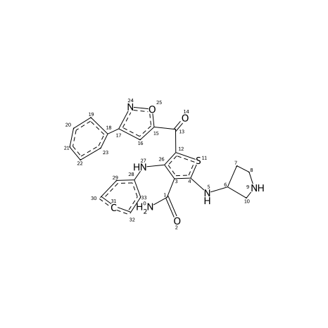 NC(=O)c1c(NC2CCNC2)sc(C(=O)c2cc(-c3ccccc3)no2)c1Nc1ccccc1